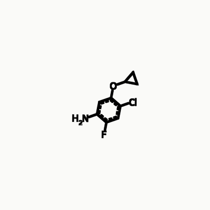 Nc1cc(OC2CC2)c(Cl)cc1F